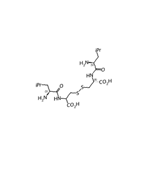 CC(C)C[C@H](N)C(=O)NC(CSSC[C@H](NC(=O)[C@@H](N)CC(C)C)C(=O)O)C(=O)O